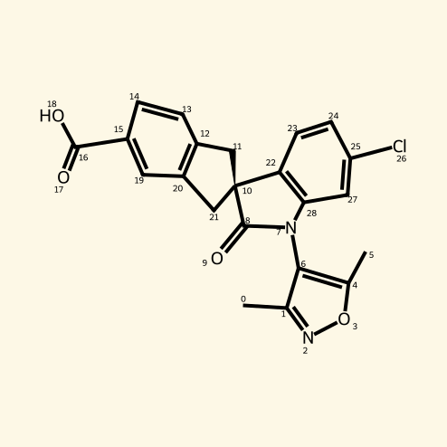 Cc1noc(C)c1N1C(=O)[C@@]2(Cc3ccc(C(=O)O)cc3C2)c2ccc(Cl)cc21